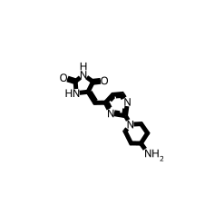 NC1CCN(c2nccc(/C=C3/NC(=O)NC3=O)n2)CC1